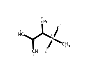 CCCC(C(C#N)C#N)S(C)(F)F